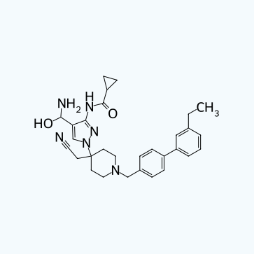 CCc1cccc(-c2ccc(CN3CCC(CC#N)(n4cc(C(N)O)c(NC(=O)C5CC5)n4)CC3)cc2)c1